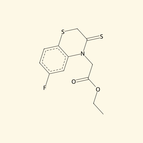 CCOC(=O)CN1C(=S)CSc2ccc(F)cc21